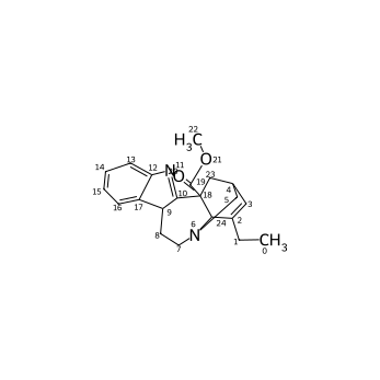 CCC1=CC2CN3CCC4C(=Nc5ccccc54)C(C(=O)OC)(C2)C13